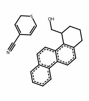 N#CC1=CCSC=C1.OCC1CCCc2ccc3c(ccc4ccccc43)c21